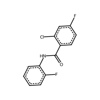 O=C(Nc1[c]cccc1F)c1ccc(F)cc1Cl